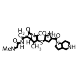 CNCC(=O)N[C@H](C)[C@H]1C(=O)N2C(C(=O)O)=C(SC3CNC(C(=O)N4CCC5CNCCC54)C3)[C@H](C)[C@H]12